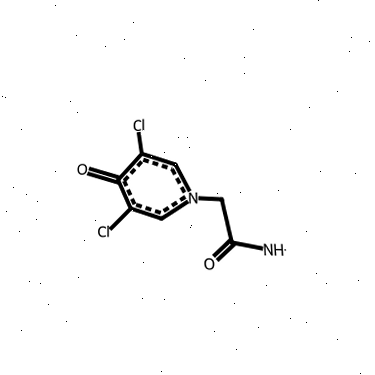 [NH]C(=O)Cn1cc(Cl)c(=O)c(Cl)c1